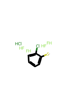 Cl.F.F.F.F.[S]c1ccccc1Cl